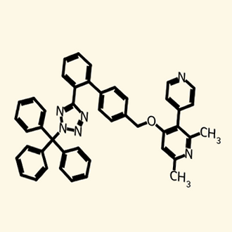 Cc1cc(OCc2ccc(-c3ccccc3-c3nnn(C(c4ccccc4)(c4ccccc4)c4ccccc4)n3)cc2)c(-c2ccncc2)c(C)n1